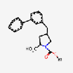 CC(C)(C)OC(=O)N1CC(Cc2cccc(-c3ccccc3)c2)CC1C(=O)O